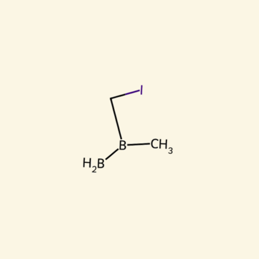 BB(C)CI